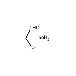 CCCC=O.[SnH2]